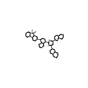 FC1(F)c2ccccc2-c2ccc(-c3ccc(-c4nc(-c5ccc6ccccc6c5)cc(-c5ccc6ccccc6c5)n4)c4ccccc34)cc21